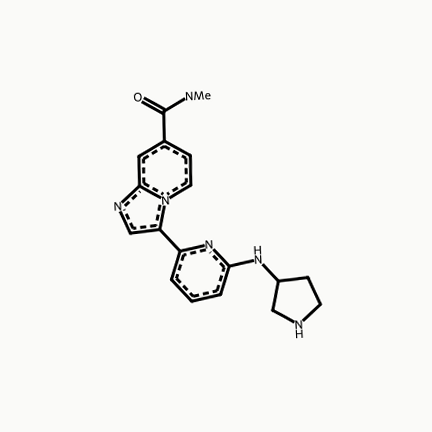 CNC(=O)c1ccn2c(-c3cccc(NC4CCNC4)n3)cnc2c1